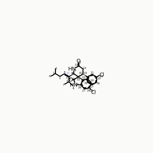 CC(C)C/C=C(\C(C)C)[C@H]1NC(=O)C[C@@H](c2cccc(Cl)c2)[C@]12C(=O)Nc1cc(Cl)ccc12